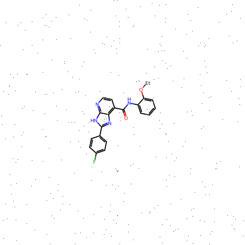 CCOc1ccccc1NC(=O)c1ccnc2[nH]c(-c3ccc(F)cc3)nc12